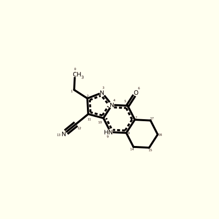 CCc1nn2c(=O)c3c([nH]c2c1C#N)CCCC3